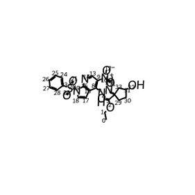 CCOC(=O)C1(NNc2c([N+](=O)[O-])cnc3c2ccn3S(=O)(=O)c2ccccc2)CCC(O)C1